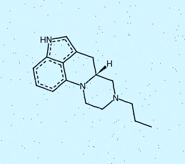 CCCN1CCN2c3cccc4[nH]cc(c34)C[C@@H]2C1